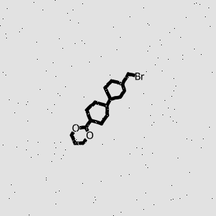 BrCC1CCC(C2CCC(C3OCCCO3)CC2)CC1